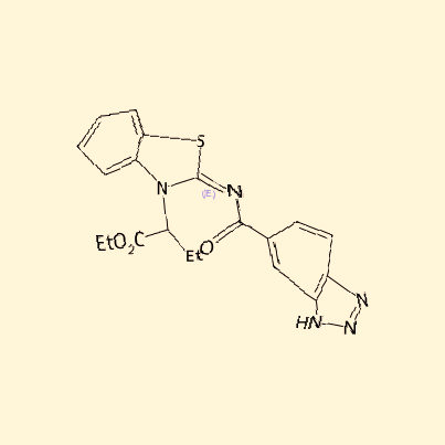 CCOC(=O)C(CC)n1/c(=N\C(=O)c2ccc3nn[nH]c3c2)sc2ccccc21